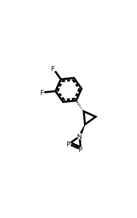 Fc1ccc([C@@H]2C[C@H]2N2P=P2)cc1F